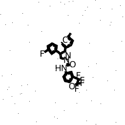 Cc1ccc(C2=NN(C(=O)Nc3ccc4c(c3)C(F)(F)C(F)(F)O4)CC2c2cccc(F)c2)cc1